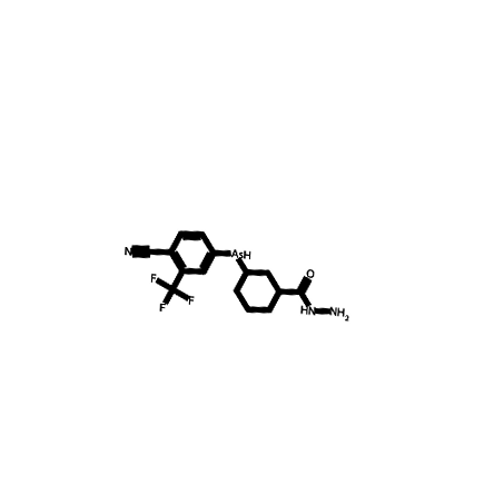 N#Cc1ccc([AsH]C2CCCC(C(=O)NN)C2)cc1C(F)(F)F